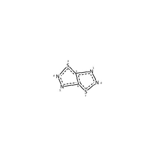 n1nc2snnc2s1